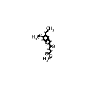 C=CCc1cc2cc(C(=O)CCC(=O)OC)sc2cc1OC